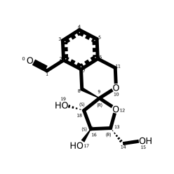 O=Cc1cccc2c1C[C@@]1(OC2)O[C@H](CO)[C@@H](O)[C@@H]1O